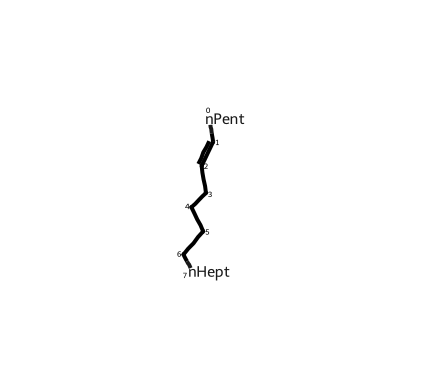 [CH2]CCCC/C=C/CCCCCCCCCCC